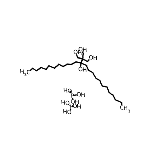 CCCCCCCCCCCCC(O)(CCCCCCCCCCCC)C(CO)(CO)CO.OP(O)O.OP(O)O